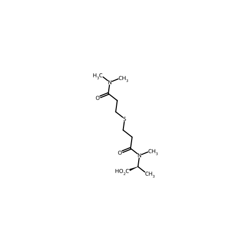 C[C@@H](C(=O)O)N(C)C(=O)CCSCCC(=O)N(C)C